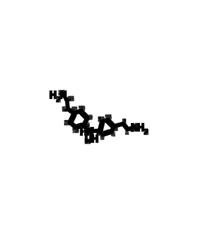 NCCc1ccc(Nc2ccc(CCN)cc2)cc1.[LiH]